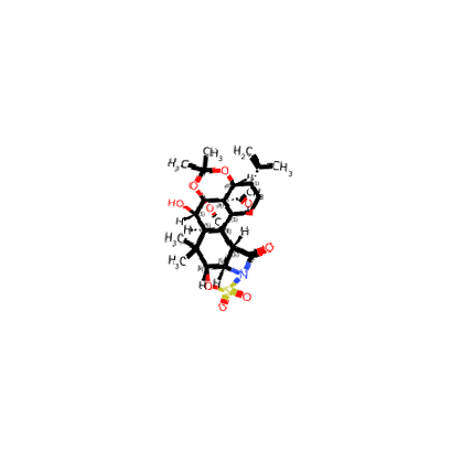 C=C(C)[C@@H]1CC[C@H]2[C@@]34COC5(OC(C)(C)O[C@H]1[C@@]25C(C)=O)[C@@H](O)[C@@H]3C(C)(C)[C@H]1OS(=O)(=O)N2C(=O)[C@@H]4[C@@H]12